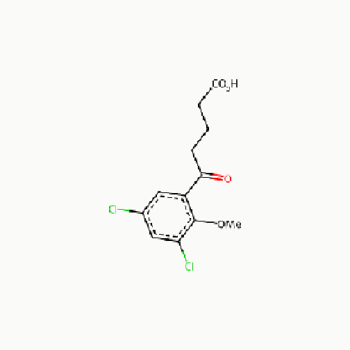 COc1c(Cl)cc(Cl)cc1C(=O)CCCC(=O)O